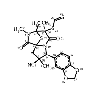 CN1C(=O)[C@@]23C[C@](C)(C#N)[C@H](c4ccc5c(c4)OCO5)N2C(=O)[C@](C)(SC=S)C1(C)S3